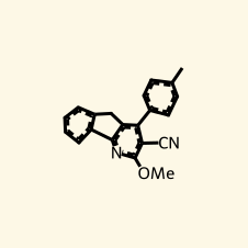 COc1nc2c(c(-c3ccc(C)cc3)c1C#N)Cc1ccccc1-2